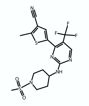 Cc1sc(-c2nc(NC3CCN(S(C)(=O)=O)CC3)ncc2C(F)(F)F)cc1C#N